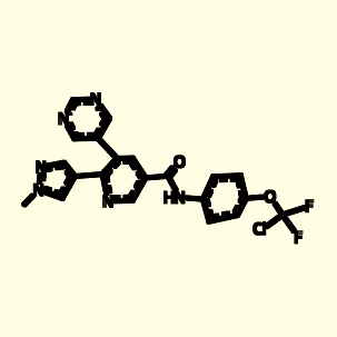 Cn1cc(-c2ncc(C(=O)Nc3ccc(OC(F)(F)Cl)cc3)cc2-c2cncnc2)cn1